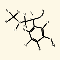 [2H]Oc1c([2H])c([2H])c([2H])c([C@]([2H])(O[2H])C([2H])([2H])N([2H])C([2H])([2H])[2H])c1[2H]